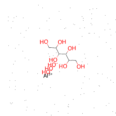 OCC(O)C(O)C(O)C(O)CO.[Al+3].[OH-].[OH-].[OH-]